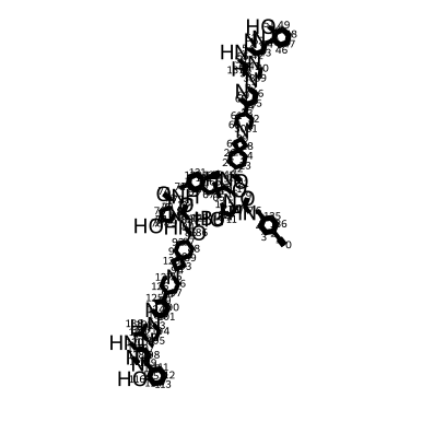 C#Cc1ccc(CNC(=O)[C@@H]2C[C@@H](O)CN2C(=O)[C@@H](NC(=O)[C@H]2CCC3(CC2)C[C@H](N2CCC(c4ccc(N5CCN6c7cc(-c8ccccc8O)nnc7NC[C@H]6C5)nc4)CC2)C3)C(C)(C)Cc2cc(CNC(=O)[C@@H]3C[C@@H](O)CN3C(=O)[C@@H](NC(=O)[C@H]3CCC4(CC3)C[C@H](N3CCC(c5ccc(N6CCN7c8cc(-c9ccccc9O)nnc8NC[C@H]7C6)nc5)CC3)C4)C(C)(C)C)ccc2C#C)cc1